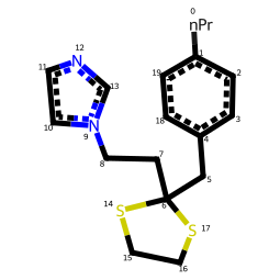 CCCc1ccc(CC2(CCn3ccnc3)SCCS2)cc1